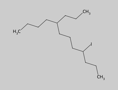 CCCCC(CCC)CCCC(I)CCC